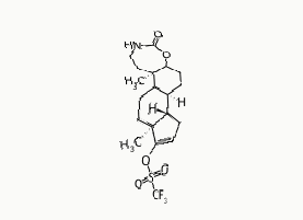 C[C@]12CCNC(=O)OC1CC[C@@H]1C2CC[C@]2(C)C(OS(=O)(=O)C(F)(F)F)=CC[C@@H]12